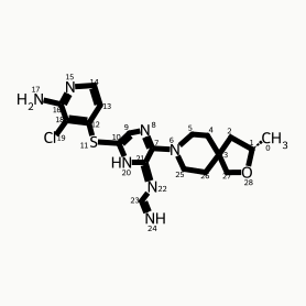 C[C@H]1CC2(CCN(c3ncc(Sc4ccnc(N)c4Cl)[nH]/c3=N\C=N)CC2)CO1